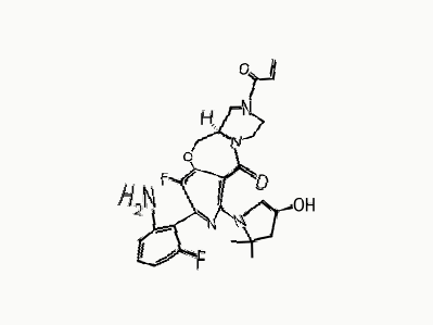 C=CC(=O)N1CCN2C(=O)c3c(N4C[C@@H](O)CC4(C)C)nc(-c4c(N)cccc4F)c(F)c3OC[C@H]2C1